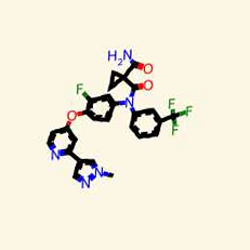 Cn1cc(-c2cc(Oc3ccc(N(C(=O)C4(C(N)=O)CC4)c4cccc(C(F)(F)F)c4)cc3F)ccn2)cn1